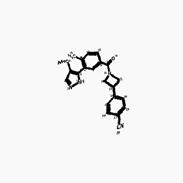 COc1cn[nH]c1-c1cc(C(=O)N2CC(c3ccc(C#N)cc3)C2)ccc1C